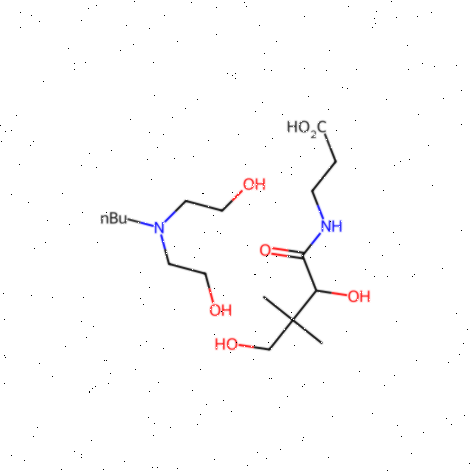 CC(C)(CO)C(O)C(=O)NCCC(=O)O.CCCCN(CCO)CCO